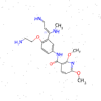 CN/C(=C\C=N)c1cc(NC(=O)c2ccc(OC)nc2OC)ccc1OCCN